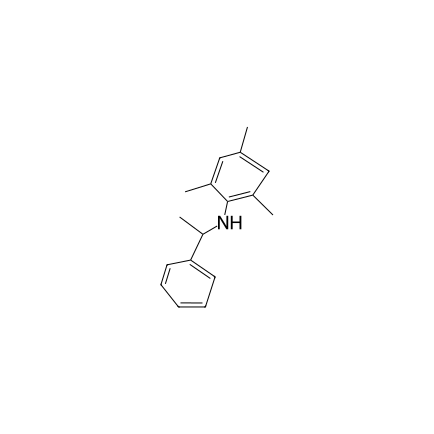 Cc1cc(C)c(NC(C)c2ccccc2)c(C)c1